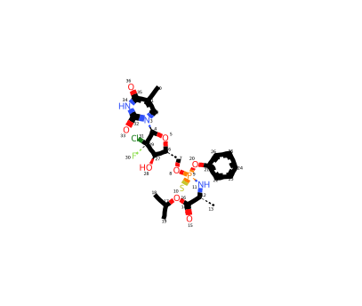 Cc1cn([C@@H]2O[C@H](CO[P@@](=S)(N[C@H](C)C(=O)OC(C)C)Oc3ccccc3)[C@@H](O)[C@@]2(F)Cl)c(=O)[nH]c1=O